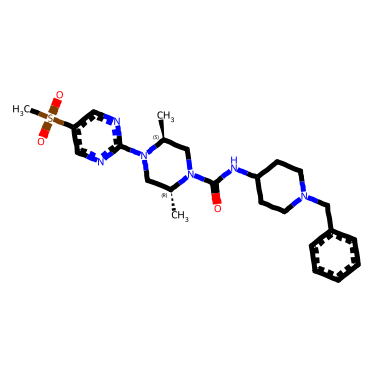 C[C@@H]1CN(c2ncc(S(C)(=O)=O)cn2)[C@@H](C)CN1C(=O)NC1CCN(Cc2ccccc2)CC1